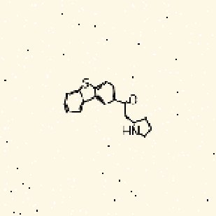 O=C(CC1CCCN1)c1ccc2sc3ccccc3c2c1